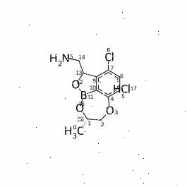 C[C@H]1COc2ccc(Cl)c3c2B(OC3CN)O1.Cl